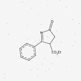 CCOC(=O)C1CC(=O)N=C1c1ccccc1